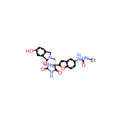 CCNC(=O)Nc1ccc2oc([C@]3(CN4Cc5ccc(O)cc5C4=O)NC(=O)NC3=O)cc2c1